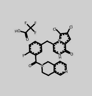 O=C(O)C(F)(F)F.O=C(c1cc(Cc2c[nH]c(=O)c3cc(Cl)c(Cl)n23)ccc1F)N1CCc2cnccc2C1